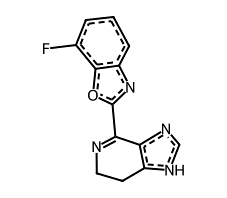 Fc1cccc2nc(C3=NCCc4[nH]cnc43)oc12